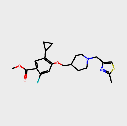 COC(=O)c1cc(C2CC2)c(OCC2CCN(Cc3csc(C)n3)CC2)cc1F